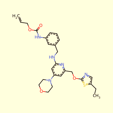 C=CCOC(=O)Nc1cccc(CNc2cc(N3CCOCC3)cc(COc3ncc(CC)s3)n2)c1